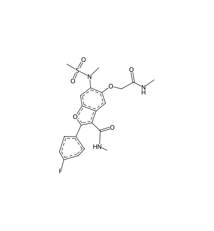 CNC(=O)COc1cc2c(C(=O)NC)c(-c3ccc(F)cc3)oc2cc1N(C)S(C)(=O)=O